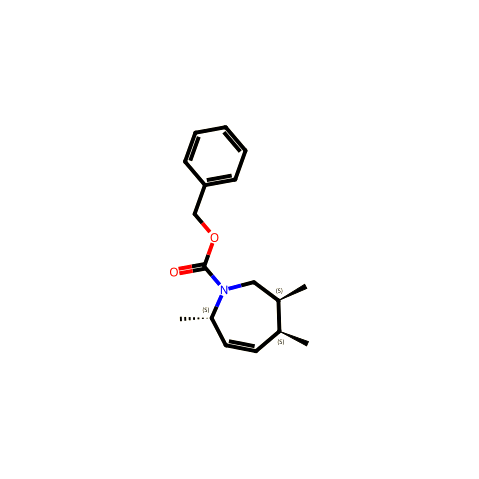 C[C@@H]1CN(C(=O)OCc2ccccc2)[C@@H](C)C=C[C@@H]1C